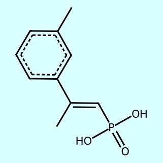 CC(=CP(=O)(O)O)c1cccc(C)c1